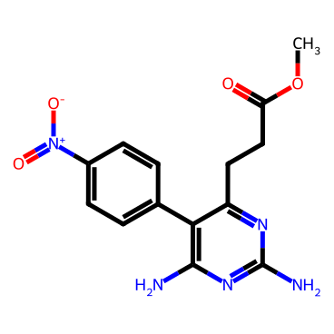 COC(=O)CCc1nc(N)nc(N)c1-c1ccc([N+](=O)[O-])cc1